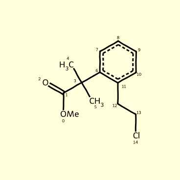 COC(=O)C(C)(C)c1ccccc1CCCl